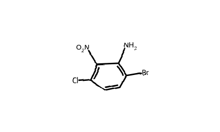 Nc1c(Br)ccc(Cl)c1[N+](=O)[O-]